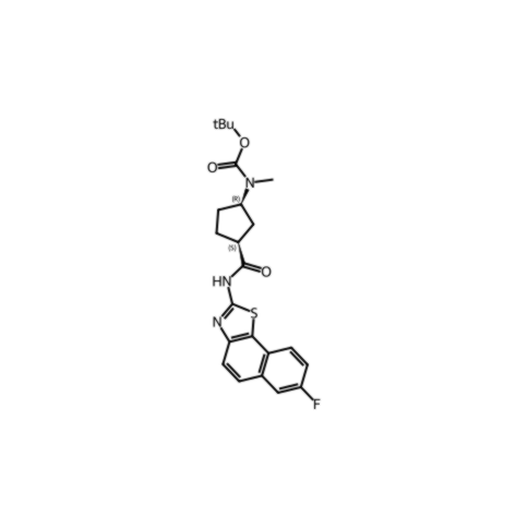 CN(C(=O)OC(C)(C)C)[C@@H]1CC[C@H](C(=O)Nc2nc3ccc4cc(F)ccc4c3s2)C1